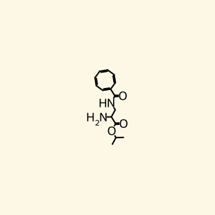 CC(C)OC(=O)C(N)CNC(=O)C1=C/C=C\C=C/C=C\1